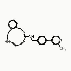 Cc1cc(-c2ccc(CNC3=N/Cc4ccccc4CCN/C=C/C=N\3)cc2)ccn1